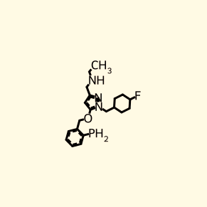 CCNCc1cc(OCc2ccccc2P)n(CC2CCC(F)CC2)n1